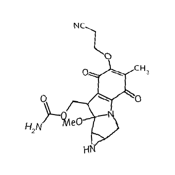 COC12C(COC(N)=O)C3=C(C(=O)C(C)=C(OCCC#N)C3=O)N1CC1NC12